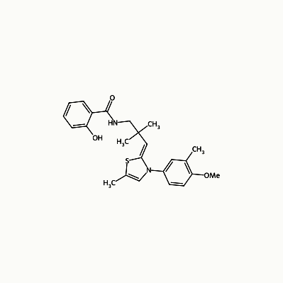 COc1ccc(N2C=C(C)SC2=CC(C)(C)CNC(=O)c2ccccc2O)cc1C